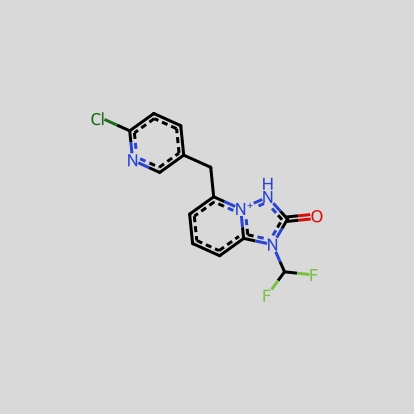 O=c1[nH][n+]2c(Cc3ccc(Cl)nc3)cccc2n1C(F)F